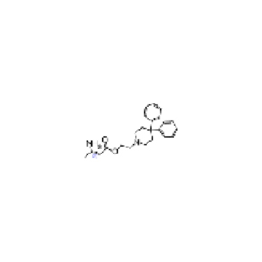 C/C(N)=C/C(=O)OCCN1CCC(c2ccccc2)(c2ccccc2)CC1